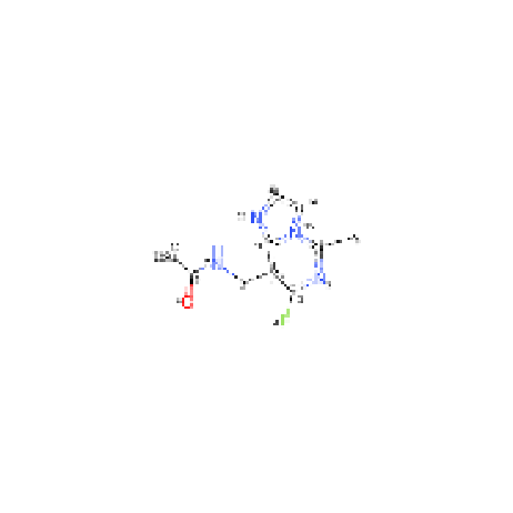 Cc1nc(F)c(CNC(=O)C(C)(C)C)c2nccn12